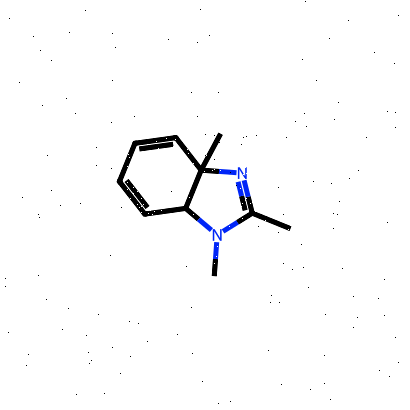 CC1=NC2(C)C=CC=CC2N1C